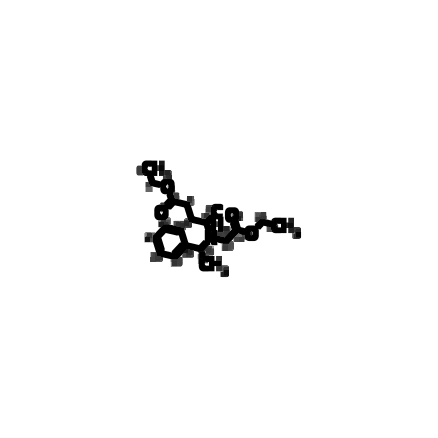 CCOC(=O)CCC(C)N(CC(=O)OCC)[C@@H](C)c1ccccc1